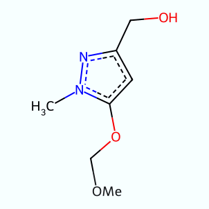 COCOc1cc(CO)nn1C